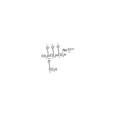 O=C([O-])O.O=C([O-])O.O=C([O-])O.O=C([O-])O.[Cr+3].[Na+]